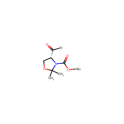 CCC(=O)[C@H]1COC(C)(C)N1C(=O)OC(C)(C)C